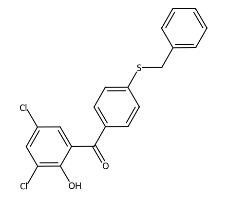 O=C(c1ccc(SCc2ccccc2)cc1)c1cc(Cl)cc(Cl)c1O